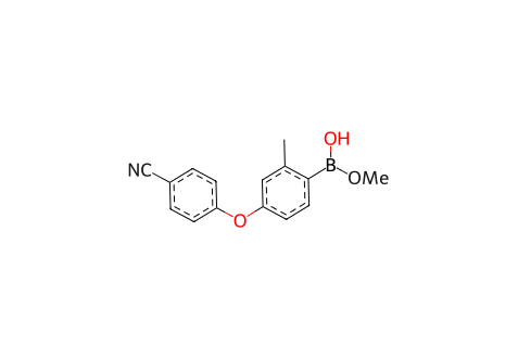 COB(O)c1ccc(Oc2ccc(C#N)cc2)cc1C